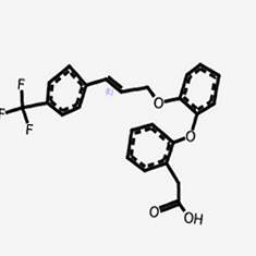 O=C(O)Cc1ccccc1Oc1ccccc1OC/C=C/c1ccc(C(F)(F)F)cc1